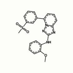 COc1ccccc1Nc1nc2cccc(-c3cccc(S(C)(=O)=O)c3)n2n1